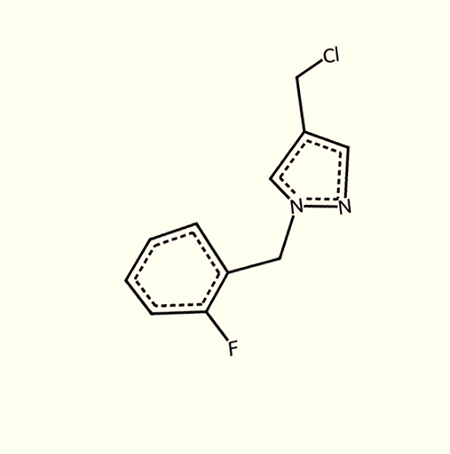 Fc1ccccc1Cn1cc(CCl)cn1